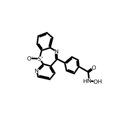 O=C(NO)c1ccc(C2=Nc3ccccc3[S+]([O-])c3ncccc32)cc1